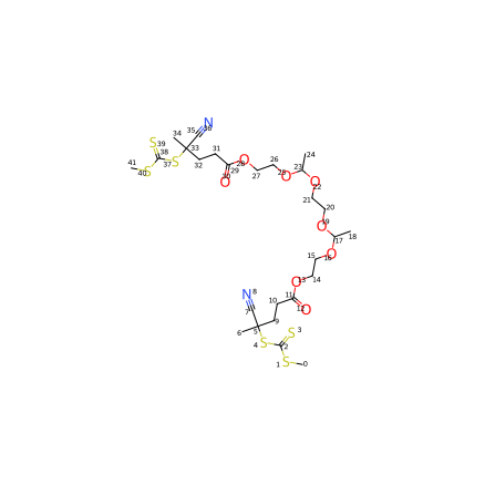 CSC(=S)SC(C)(C#N)CCC(=O)OCCOC(C)OCCOC(C)OCCOC(=O)CCC(C)(C#N)SC(=S)SC